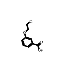 O=C(O)c1c[c]cc(OCCCl)c1